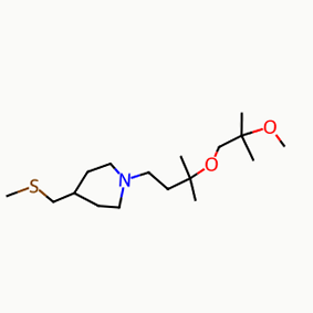 COC(C)(C)COC(C)(C)CCN1CCC(CSC)CC1